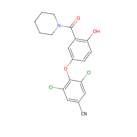 N#Cc1cc(Cl)c(Oc2ccc(O)c(C(=O)N3CCCCC3)c2)c(Cl)c1